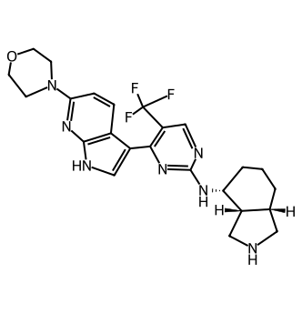 FC(F)(F)c1cnc(N[C@@H]2CCC[C@@H]3CNC[C@@H]32)nc1-c1c[nH]c2nc(N3CCOCC3)ccc12